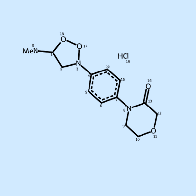 CNC1CN(c2ccc(N3CCOCC3=O)cc2)OO1.Cl